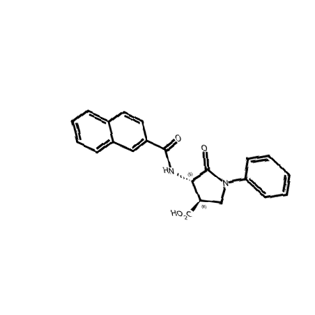 O=C(N[C@@H]1C(=O)N(c2ccccc2)C[C@H]1C(=O)O)c1ccc2ccccc2c1